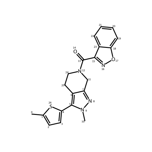 Cc1ccc(-c2c3c(nn2C)CN(C(=O)c2noc4ccccc24)CC3)s1